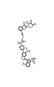 CNC(=O)c1cn(N2CCc3cc(-c4ccc(C(=O)NCCC#Cc5cccc6c5CN(C5CCC(=O)NC5=O)C6=O)nc4)c(C(F)F)cc32)c2c(C(C)C)cccc12